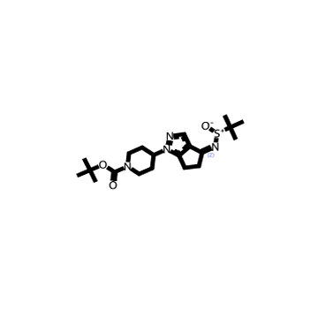 CC(C)(C)OC(=O)N1CCC(n2ncc3c2CC/C3=N/[S+]([O-])C(C)(C)C)CC1